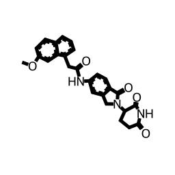 COc1ccc2cccc(CC(=O)Nc3ccc4c(c3)CN(C3CCC(=O)NC3=O)C4=O)c2c1